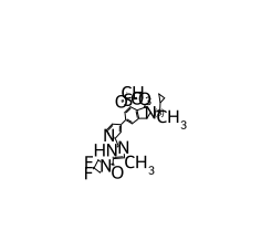 Cc1nc(-c2cc(-c3cc4c(c(S(C)(=O)=O)c3)C(=O)N([C@@H](C)C3CC3)C4)ccn2)[nH]c1C(=O)N1CC(F)(F)C1